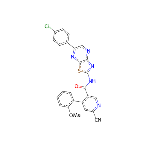 COc1ccccc1-c1cc(C#N)ncc1C(=O)Nc1nc2ncc(-c3ccc(Cl)cc3)nc2s1